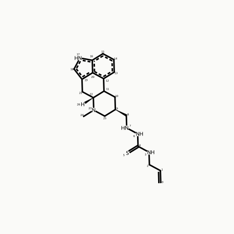 C=CCNC(=S)NNC[C@@H]1CC2c3cccc4[nH]cc(c34)C[C@H]2N(C)C1